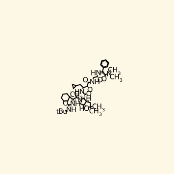 CN(C)C(=O)[C@@H](NC(=O)CNC(=O)C(=O)C(CC1CC1)NC(=O)[C@@H]1[C@H]2CC(C)(C)O[C@H]2CN1C(=O)[C@@H](NC(=O)NC(C)(C)C)C1(C)CCCCC1)c1ccccc1